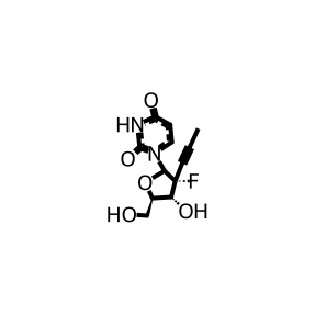 CC#C[C@]1(F)C(n2ccc(=O)[nH]c2=O)O[C@H](CO)[C@H]1O